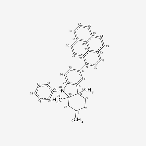 CC1CCC2(C)c3cc(-c4ccc5ccc6cccc7ccc4c5c67)ccc3N(c3ccccc3)C2(C)C1